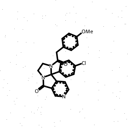 COc1ccc(CC(=O)N2CCN3C(=O)c4cnccc4C23c2ccc(Cl)cc2)cc1